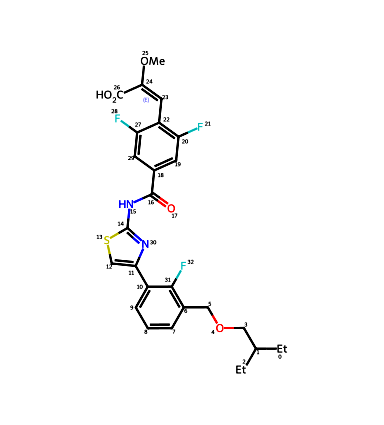 CCC(CC)COCc1cccc(-c2csc(NC(=O)c3cc(F)c(/C=C(/OC)C(=O)O)c(F)c3)n2)c1F